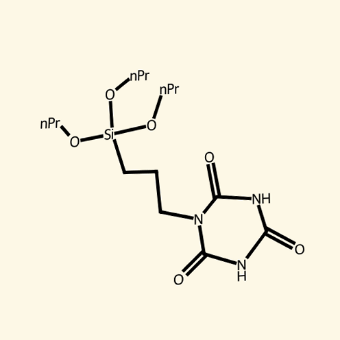 CCCO[Si](CCCn1c(=O)[nH]c(=O)[nH]c1=O)(OCCC)OCCC